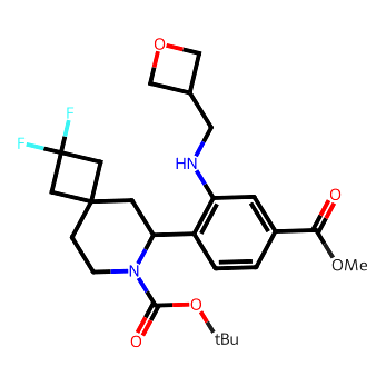 COC(=O)c1ccc(C2CC3(CCN2C(=O)OC(C)(C)C)CC(F)(F)C3)c(NCC2COC2)c1